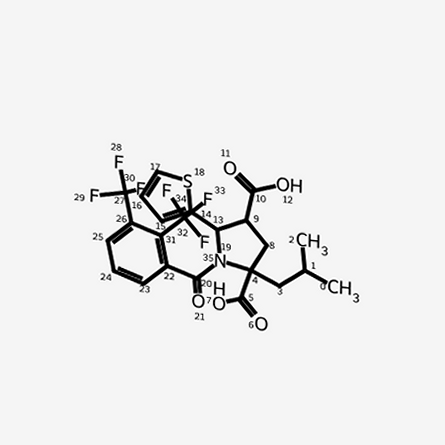 CC(C)CC1(C(=O)O)CC(C(=O)O)C(c2cccs2)N1C(=O)c1cccc(C(F)(F)F)c1C(F)(F)F